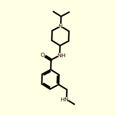 CNCc1cccc(C(=O)NC2CCN(C(C)C)CC2)c1